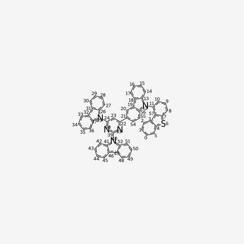 c1ccc2c(c1)sc1cccc(-n3c4ccccc4c4cc(-c5cc(-n6c7ccccc7c7ccccc76)nc(-n6c7ccccc7c7ccccc76)n5)ccc43)c12